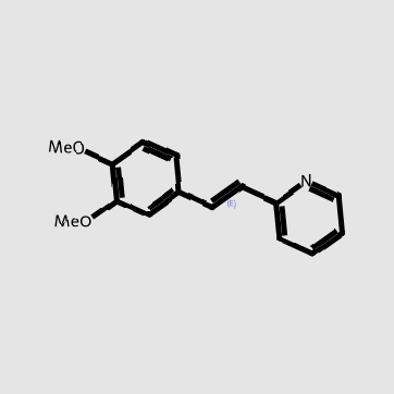 COc1ccc(/C=C/c2ccccn2)cc1OC